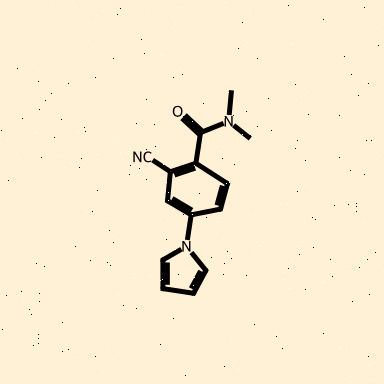 CN(C)C(=O)c1ccc(-n2cccc2)cc1C#N